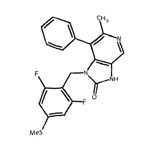 CSc1cc(F)c(Cn2c(=O)[nH]c3cnc(C)c(-c4ccccc4)c32)c(F)c1